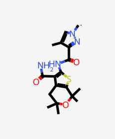 [CH2]n1cc(C)c(C(=O)Nc2sc3c(c2C(N)=O)CC(C)(C)OC3(C)C)n1